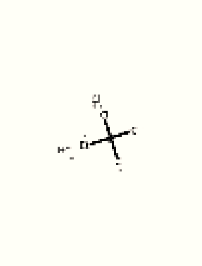 CCC(Cl)(Cl)Cl.Cl.Cl